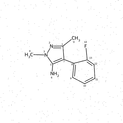 Cc1nn(C)c(N)c1-c1ccccc1F